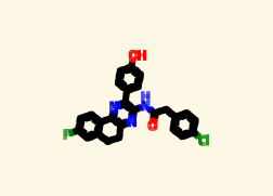 O=C(Cc1ccc(Cl)cc1)Nc1nc2c(nc1-c1ccc(O)cc1)-c1ccc(F)cc1CC2